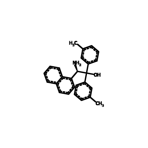 Cc1cccc(C(O)(c2cccc(C)c2)[C@H](N)c2cccc3ccccc23)c1